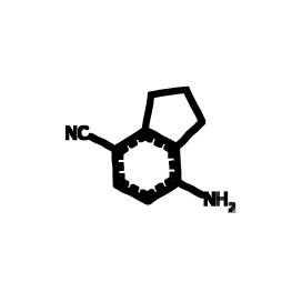 N#Cc1ccc(N)c2c1CCC2